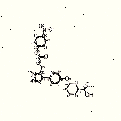 Cn1ncc(-c2ccc(O[C@H]3CCC[C@H](C(=O)O)C3)cn2)c1COC(=O)Oc1ccc([N+](=O)[O-])cc1